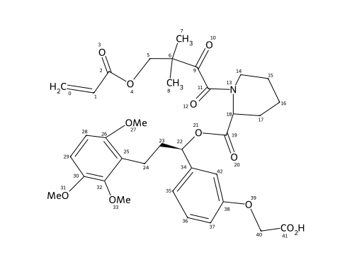 C=CC(=O)OCC(C)(C)C(=O)C(=O)N1CCCCC1C(=O)O[C@H](CCc1c(OC)ccc(OC)c1OC)c1cccc(OCC(=O)O)c1